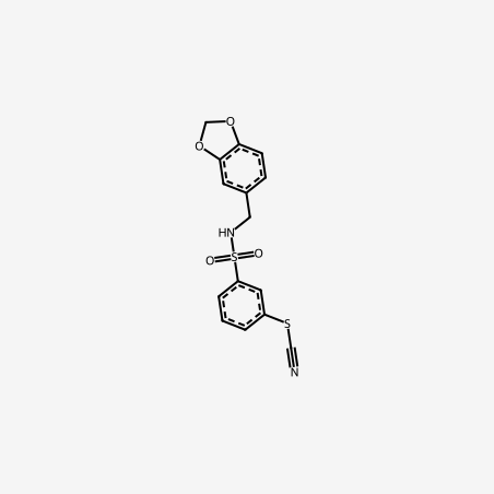 N#CSc1cccc(S(=O)(=O)NCc2ccc3c(c2)OCO3)c1